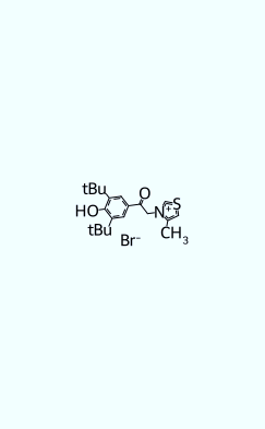 Cc1csc[n+]1CC(=O)c1cc(C(C)(C)C)c(O)c(C(C)(C)C)c1.[Br-]